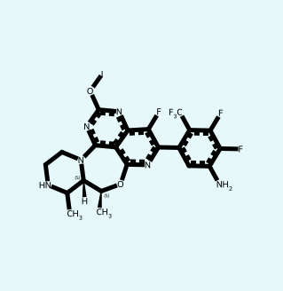 CC1NCCN2c3nc(OI)nc4c(F)c(-c5cc(N)c(F)c(F)c5C(F)(F)F)nc(c34)O[C@@H](C)[C@H]12